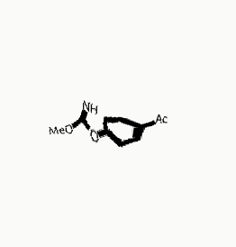 COC(=N)Oc1ccc(C(C)=O)cc1